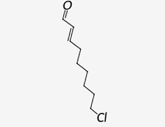 O=C/C=C/CCCCCCCl